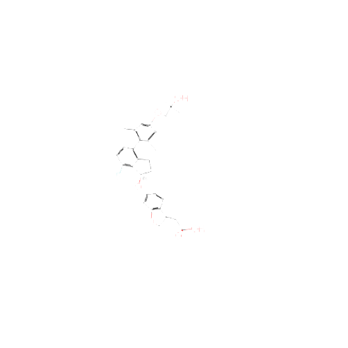 Cc1cc(OCC(C)(C)O)cc(C)c1-c1ccc(F)c2c1CC[C@H]2Oc1ccc2c(c1)OCC2CC(=O)O